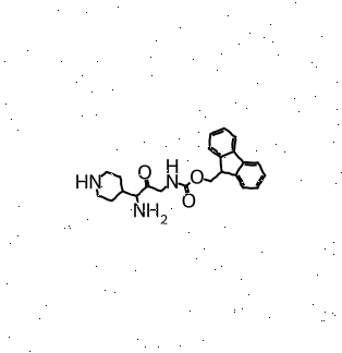 NC(C(=O)CNC(=O)OCC1c2ccccc2-c2ccccc21)C1CCNCC1